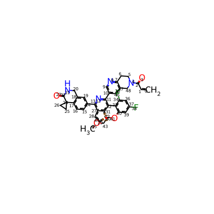 C=CC(=O)N1CCc2ncc(-c3nc(-c4ccc5c(c4)CNC(=O)C54CC4)c4ccsc4c3-c3c(F)cc(F)cc3OCCOC)cc2C1